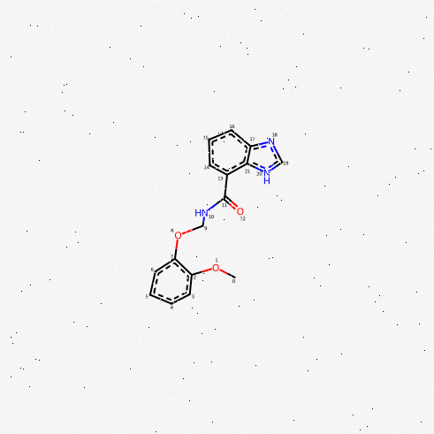 COc1ccccc1OCNC(=O)c1cccc2nc[nH]c12